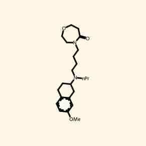 CCCN(CCCCN1CCOCCC1=O)C1CCc2ccc(OC)cc2C1